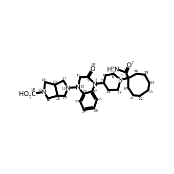 NC(=O)C1(N2CCC(N3C(=O)CN(N4CC5CN(C(=O)O)CC5C4)c4ccccc43)CC2)CCCCCCC1